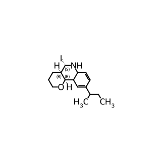 CCC(C)C1=CC2C(C=C1)N[C@@H](I)[C@@H]1CCCO[C@H]21